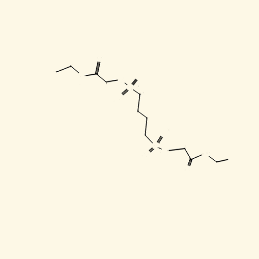 CCOC(=O)COS(=O)(=O)CCCCS(=O)(=O)OCC(=O)OCC